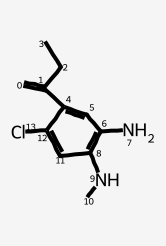 C=C(CC)c1cc(N)c(NC)cc1Cl